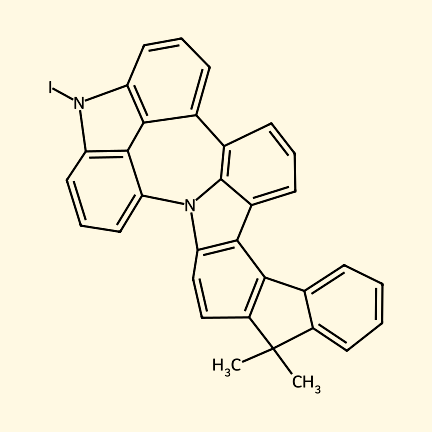 CC1(C)c2ccccc2-c2c1ccc1c2c2cccc3c4cccc5c4c4c(cccc4n1c32)n5I